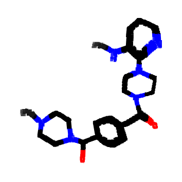 CC(C)Nc1cccnc1N1CCN(C(=O)c2ccc(C(=O)N3CCN(C(C)C)CC3)cc2)CC1